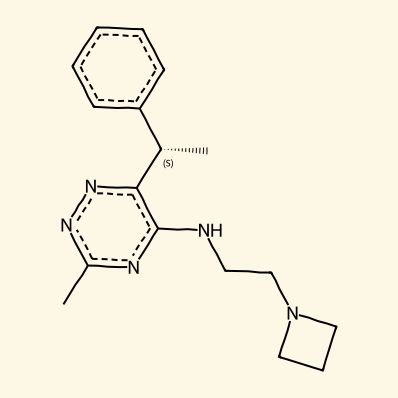 Cc1nnc([C@@H](C)c2ccccc2)c(NCCN2CCC2)n1